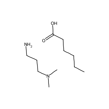 CCCCCC(=O)O.CN(C)CCCN